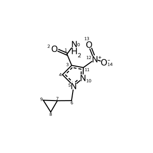 NC(=O)c1cn(CC2CC2)nc1[N+](=O)[O-]